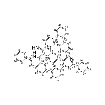 N=C(/C(=C1\NC(c2ccccc2)=Cc2ccc(-c3cccc(-c4cc(-c5ccccc5)nc(-c5ccc(-c6ccccc6)cc5)c4)c3)cc21)c1ccccc1)c1ccccc1